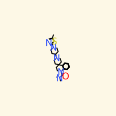 Cc1cnc(N2CCC(N3CCC4(CCN(C(=O)N(C)C)c5ccccc54)CC3)CC2)s1